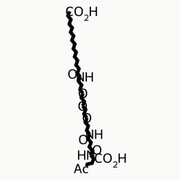 CC(=O)CC[C@H](NC(=O)CCC(=O)NCCCOCCOCCOCCCNC(=O)CCCCCCCCCCCCCCC(=O)O)C(=O)O